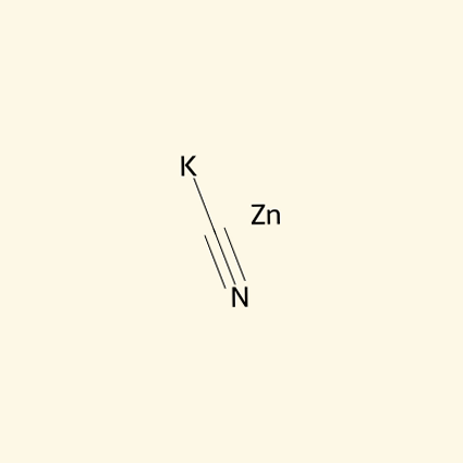 N#[C][K].[Zn]